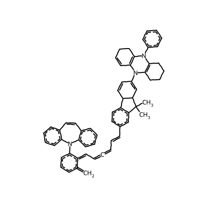 C=c1cccc(N2c3ccccc3C=Cc3ccccc32)/c1=C/C=C=C/C=C/c1ccc2c(c1)C(C)(C)C1C=C(N3C4=C(CCC=C4)N(c4ccccc4)C4=C3CCCC4)C=CC21